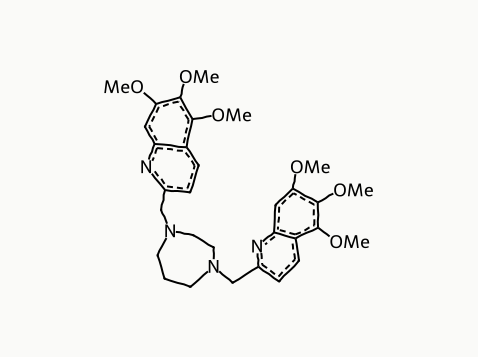 COc1cc2nc(CN3CCCN(Cc4ccc5c(OC)c(OC)c(OC)cc5n4)CC3)ccc2c(OC)c1OC